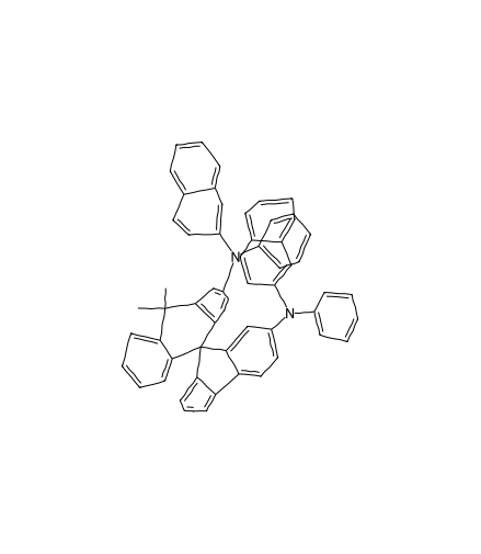 CC1(C)c2ccccc2C2(c3ccccc3-c3ccc(N(c4ccccc4)c4ccc5ccccc5c4)cc32)c2ccc(N(c3ccccc3)c3ccc4ccccc4c3)cc21